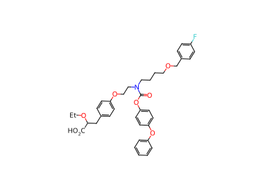 CCOC(Cc1ccc(OCCN(CCCCOCc2ccc(F)cc2)C(=O)Oc2ccc(Oc3ccccc3)cc2)cc1)C(=O)O